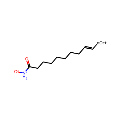 CCCCCCCCC=CCCCCCCCC(=O)[NH2+][O-]